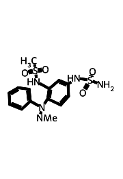 CNN(c1ccccc1)c1ccc(NS(N)(=O)=O)cc1NS(C)(=O)=O